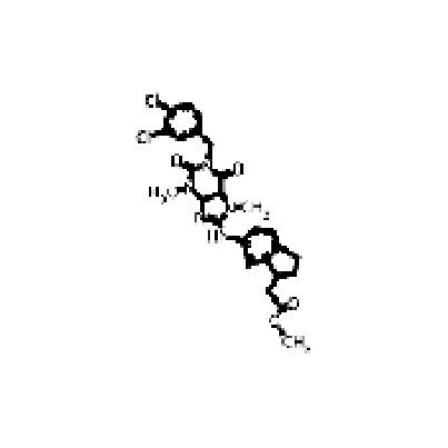 COC(=O)CC1CCc2ccc(NC3=NC4C(C(=O)N(Cc5ccc(Cl)c(Cl)c5)C(=O)N4C)N3C)cc21